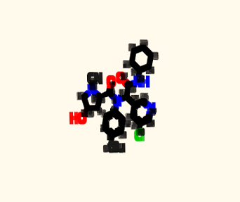 CC(C)(C)c1ccc(N(C(=O)[C@H]2C[C@@H](O)CN2C#N)C(C(=O)NC2CCCCC2)c2cncc(Cl)c2)cc1